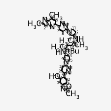 Cc1cn2nc(-c3ccc(N4CCC(NC(C)(C)CCC(C)(NC5CCN(c6ccc(-c7cc8oc(C)nc8cc7O)nn6)C5)C(C)(C)C)C4)nn3)cc(C)c2n1